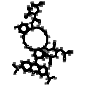 Cc1ccc2c(c1)OCCOc1cc(-c3c4ccc(=[N+](C)C)cc-4oc4cc(N(C)C)ccc34)ccc1N(CC(=O)N(CC(=O)O)CC(=O)O)CCOCCN2CC(=O)C(CC(=O)O)C(=O)O